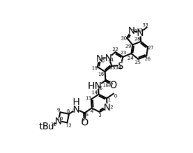 Cc1ncc(C(=O)NC2CN(C(C)(C)C)C2)cc1NC(=O)c1cnn2cc(-c3cccc4c3cnn4C)sc12